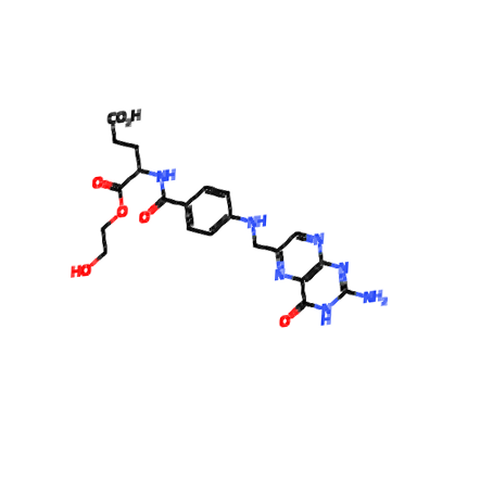 Nc1nc2ncc(CNc3ccc(C(=O)NC(CCC(=O)O)C(=O)OCCO)cc3)nc2c(=O)[nH]1